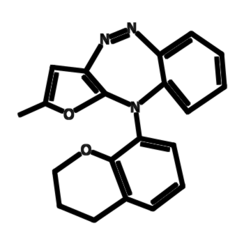 Cc1cc2c(o1)N(c1cccc3c1OCCC3)c1ccccc1N=N2